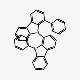 Cc1cccc2c3cccc(-c4ccccc4)c3n(-c3cccc4c5ccccc5n(-c5ccccc5)c34)c12